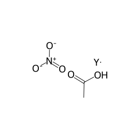 CC(=O)O.O=[N+]([O-])[O-].[Y]